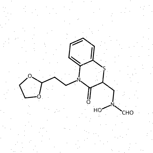 O=CN(O)CC1Sc2ccccc2N(CCC2OCCO2)C1=O